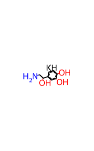 NCC(O)c1ccc(O)c(O)c1.[KH]